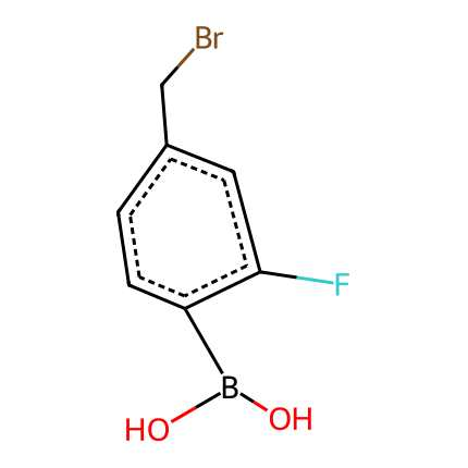 OB(O)c1ccc(CBr)cc1F